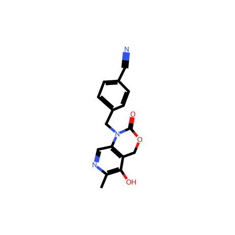 Cc1ncc2c(c1O)COC(=O)N2Cc1ccc(C#N)cc1